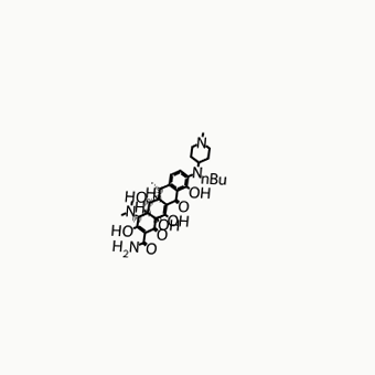 CCCCN(c1ccc2c(c1O)C(=O)C1=C(O)[C@]3(O)C(=O)C(C(N)=O)=C(O)[C@H](N(C)C)[C@@H]3[C@H](O)[C@H]1[C@@H]2C)C1CCN(C)CC1